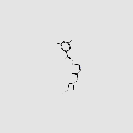 N/C(=N\N/C=C\C(=O)NN1CC(O)C1)c1cc(C(F)(F)F)cc(C(F)(F)F)c1